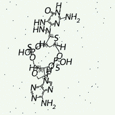 Nc1nc2c(c(=O)[nH]1)NNN2[C@@H]1S[C@@H]2COP(O)(=S)O[C@@H]3[C@@H](COP(O)(=S)O[C@@H]1C2)OC[C@@]3(F)n1cnc2c(N)ncnc21